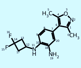 Cc1noc(C)c1-c1ccc(NC2CC(F)(F)C2)c(N)c1